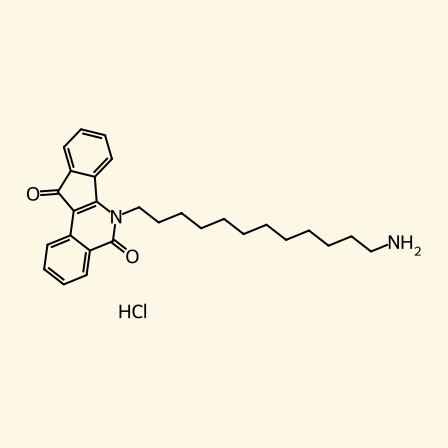 Cl.NCCCCCCCCCCCCn1c2c(c3ccccc3c1=O)C(=O)c1ccccc1-2